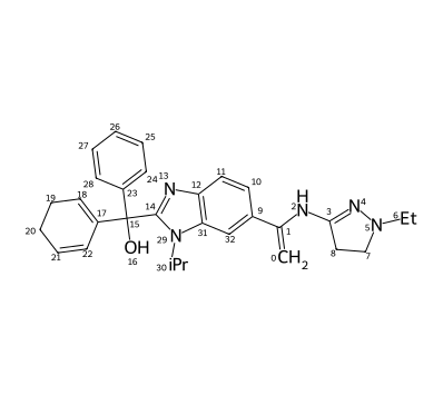 C=C(NC1=NN(CC)CC1)c1ccc2nc(C(O)(C3=CCCC=C3)c3ccccc3)n(C(C)C)c2c1